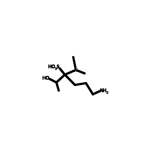 CC(O)C(CCCN)(N(C)C)S(=O)(=O)O